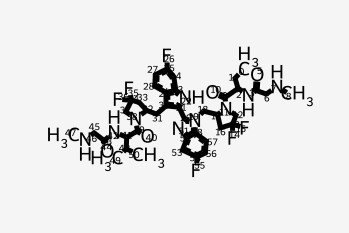 CCC(NC(=O)CNC)C(=O)N1CC(F)(F)CC1Cn1c(-c2[nH]c3cc(F)ccc3c2CC2CC(F)(F)CN2C(=O)C(NC(=O)CNC)C(C)C)nc2cc(F)ccc21